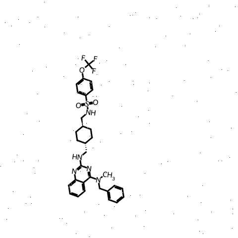 CN(Cc1ccccc1)c1nc(NC[C@H]2CC[C@H](CNS(=O)(=O)c3ccc(OC(F)(F)F)cc3)CC2)nc2ccccc12